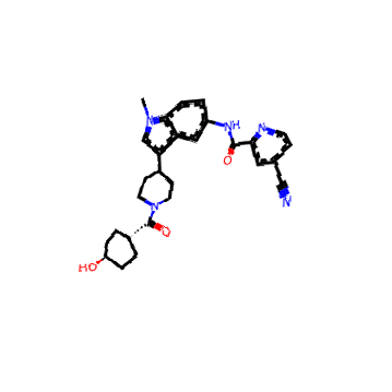 Cn1cc(C2CCN(C(=O)[C@H]3CC[C@H](O)CC3)CC2)c2cc(NC(=O)c3cc(C#N)ccn3)ccc21